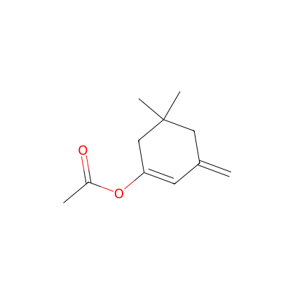 C=C1C=C(OC(C)=O)CC(C)(C)C1